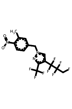 Cc1cc(Cn2cc(C(F)(F)C(F)(F)CF)c(C(F)(F)F)n2)ccc1[N+](=O)[O-]